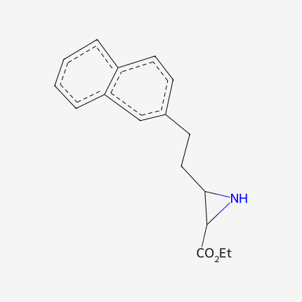 CCOC(=O)C1NC1CCc1ccc2ccccc2c1